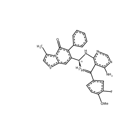 COc1ccc(C(=N)c2c(N)ncnc2N[C@@H](C)c2cc3scc(C)n3c(=O)c2-c2ccccc2)cc1F